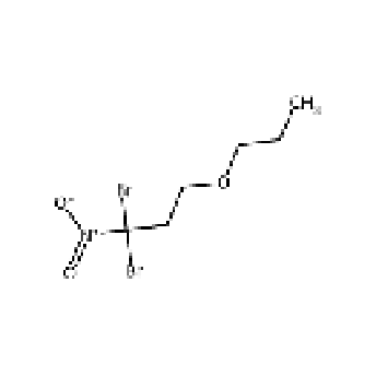 CCCOCCC(Br)(Br)[N+](=O)[O-]